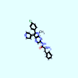 Cn1c(-c2ccc(F)cc2)c(-c2ccncc2)c2ncc(NC(=O)[C@@H](N)Cc3ccccc3)nc21